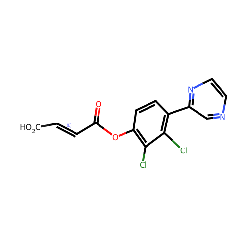 O=C(O)/C=C/C(=O)Oc1ccc(-c2cnccn2)c(Cl)c1Cl